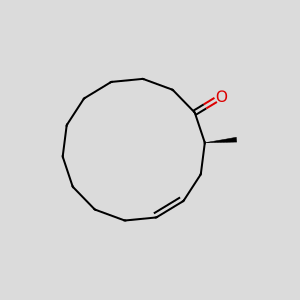 C[C@H]1C/C=C\CCCCCCCCCC1=O